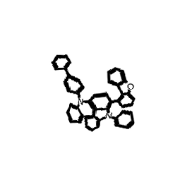 c1ccc(-c2ccc(N(c3ccccc3)c3ccc(-c4cccc5oc6ccccc6c45)c4c3c3ccccc3n4-c3ccccc3)cc2)cc1